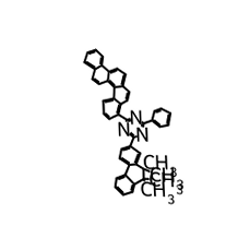 CC1(C)c2ccccc2-c2ccc(-c3nc(-c4ccccc4)nc(-c4cccc5c4ccc4ccc6c7ccccc7ccc6c45)n3)cc2C1(C)C